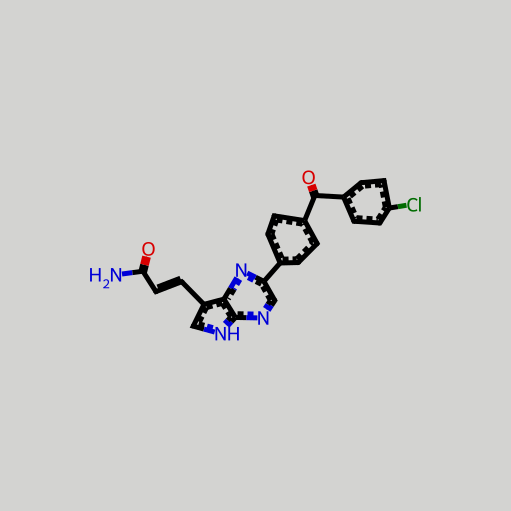 NC(=O)/C=C/c1c[nH]c2ncc(-c3ccc(C(=O)c4ccc(Cl)cc4)cc3)nc12